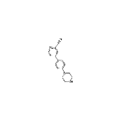 N#Cc1cc(-c2ccc(N3CCNCC3)cc2)ccn1